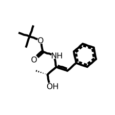 C[C@@H](O)C(=Cc1ccccc1)NC(=O)OC(C)(C)C